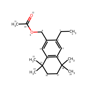 CCc1cc2c(cc1COC(C)=O)C(C)(C)CCC2(C)C